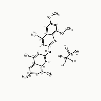 COc1cc(OC)c2nc(Nc3nc(O)c4cc(N)cc(C)c4n3)nc(C)c2c1.O=C(O)C(F)(F)F